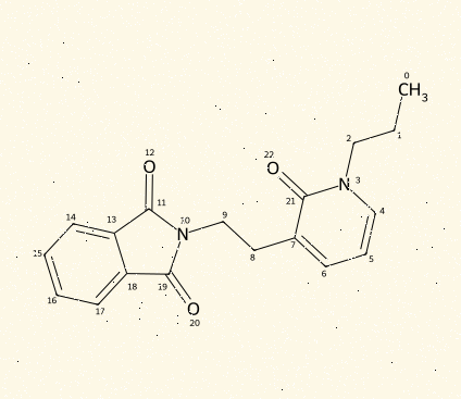 CCCn1cccc(CCN2C(=O)c3ccccc3C2=O)c1=O